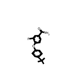 CC(C)(C)c1ccc(Oc2ccc(C(N)=O)cc2F)cc1